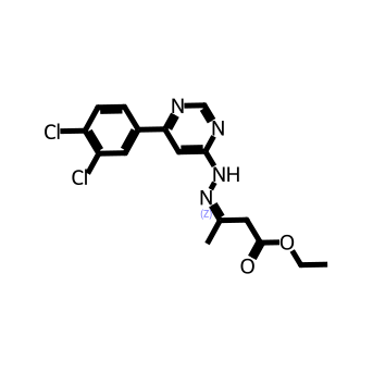 CCOC(=O)C/C(C)=N\Nc1cc(-c2ccc(Cl)c(Cl)c2)ncn1